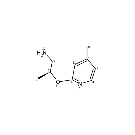 Cc1ccnc(O[C@@H](C)CN)c1